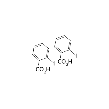 O=C(O)c1ccccc1I.O=C(O)c1ccccc1I